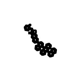 C=c1/c(=C\c2ccccc2C)oc2cc3cc(-c4ccc(-c5c6ccccc6c(-c6cccc7ccccc67)c6ccccc56)c5ccccc45)ccc3cc12